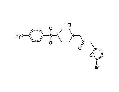 Cc1ccc(S(=O)(=O)N2CCN(CC(=O)Cc3ccc(Br)s3)CC2)cc1.Cl